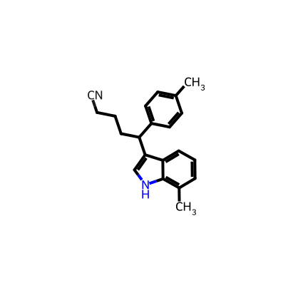 Cc1ccc(C(CCCC#N)c2c[nH]c3c(C)cccc23)cc1